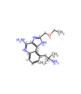 CCOCc1nc2c(N)nc3cccc(CC(C)(C)N)c3c2[nH]1